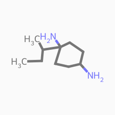 CCC(C)C1(N)CCC(N)CC1